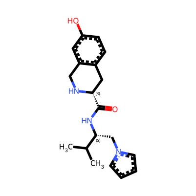 CC(C)[C@@H](Cn1cccc1)NC(=O)[C@H]1Cc2ccc(O)cc2CN1